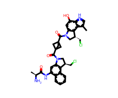 Cc1c[nH]c2c(O)cc3c(c12)[C@H](CCl)CN3C(=O)C12CC(C(=O)N3C[C@@H](CCl)c4c3cc(NC(=O)[C@H](C)N)c3ccccc43)(C1)C2